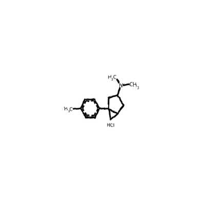 Cc1ccc(C23CC(N(C)C)CC2C3)cc1.Cl